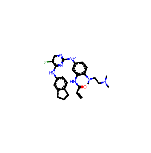 C=CC(=O)Nc1cc(Nc2ncc(Br)c(Nc3ccc4c(c3)CCC4)n2)ccc1N(C)CCN(C)C